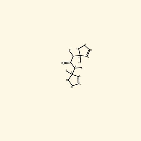 CC(C(=O)C(C)C1(C)C=CCC1)C1(C)C=CCC1